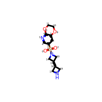 O=S(=O)(c1cnc2c(c1)OCCO2)N1CC(=C2CNC2)C1